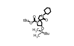 CC(C)(C)OC(=O)N1C[C@H](O[Si](C)(C)C(C)(C)C)CC12CCN(C1CCCCC1)C2=O